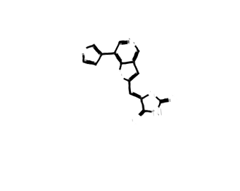 O=C1NC(=O)/C(=C/c2cc3cncc(-c4ccsc4)c3o2)S1